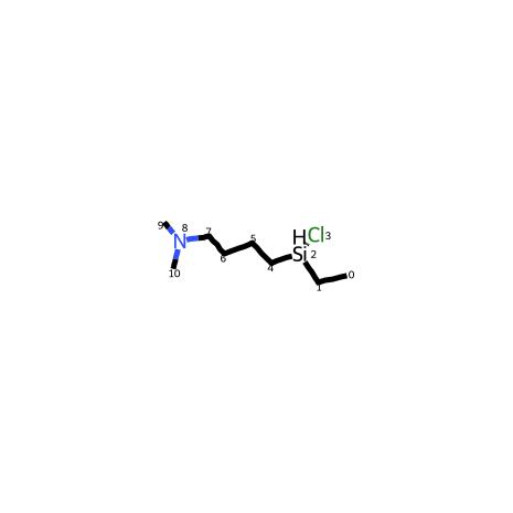 CC[SiH](Cl)CCCCN(C)C